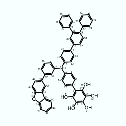 Oc1c(O)c(O)c(-c2ccc(N(c3ccc(-c4ccc(-c5ccccc5)c(-c5ccccc5)c4)cc3)c3cccc(-c4ccc5oc6ccccc6c5c4)c3)cc2)c(O)c1O